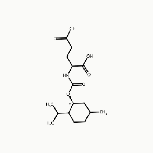 CC1CCC(C(C)C)[C@@H](OC(=O)NC(CCC(=O)O)C(=O)O)C1